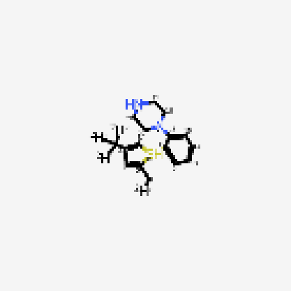 [2H]CC1=CC(C([2H])([2H])[2H])=C[SH]1c1ccccc1N1CCNCC1